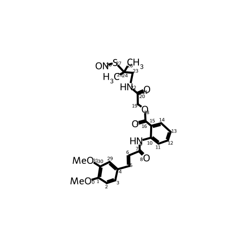 COc1ccc(C=CC(=O)Nc2ccccc2C(=O)OCC(=O)NCC(C)(C)SN=O)cc1OC